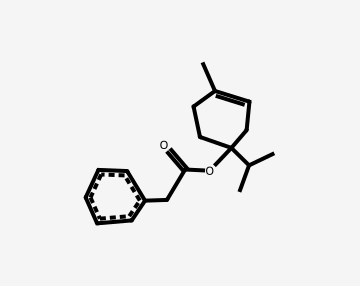 CC1=CCC(OC(=O)Cc2ccccc2)(C(C)C)CC1